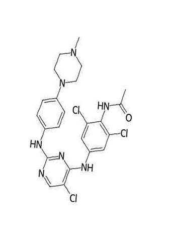 CC(=O)Nc1c(Cl)cc(Nc2nc(Nc3ccc(N4CCN(C)CC4)cc3)ncc2Cl)cc1Cl